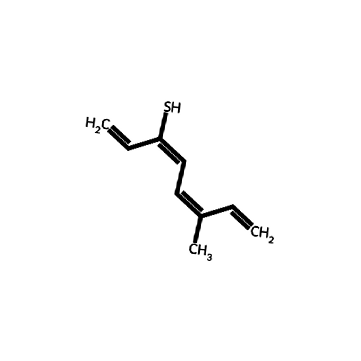 C=C/C(C)=C\C=C(\S)C=C